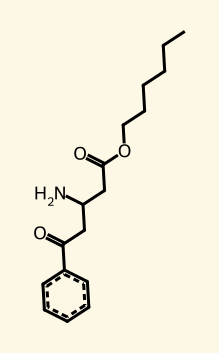 CCCCCCOC(=O)CC(N)CC(=O)c1ccccc1